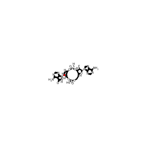 Nc1ncnc2c1ncn2[C@@H]1O[C@@H]2CCOP(=O)(S)O[C@@H]3[C@H](O)[C@H](C[C@H]3n3[nH]c(=O)c4c(N)ncnc43)OP(=O)(S)O[C@H]2[C@H]1F